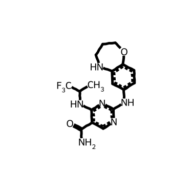 CC(Nc1nc(Nc2ccc3c(c2)NCCCO3)ncc1C(N)=O)C(F)(F)F